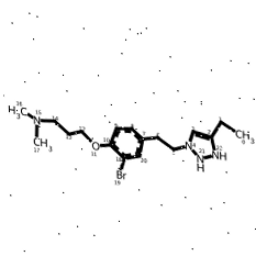 CCC1=CN(CCc2ccc(OCCCN(C)C)c(Br)c2)NN1